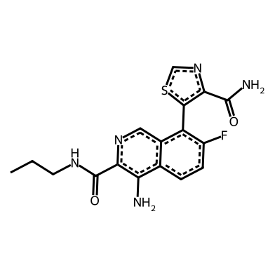 CCCNC(=O)c1ncc2c(-c3scnc3C(N)=O)c(F)ccc2c1N